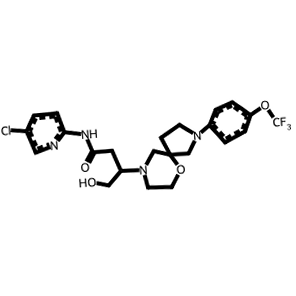 O=C(CC(CO)N1CCOC2(CCN(c3ccc(OC(F)(F)F)cc3)C2)C1)Nc1ccc(Cl)cn1